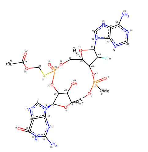 COP1(=O)OC[C@H]2O[C@@H](n3cnc4c(=O)[nH]c(N)nc43)C(OP(=O)(SCOC(=O)C(C)(C)C)OC[C@H]3OC(n4cnc5c(N)ncnc54)C(F)C3O1)C2O